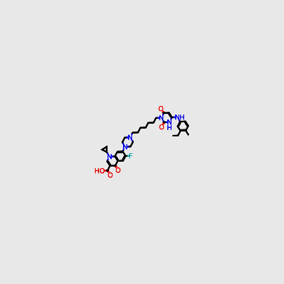 CCc1cc(Nc2cc(=O)n(CCCCCCCN3CCN(c4cc5c(cc4F)c(=O)c(C(=O)O)cn5C4CC4)CC3)c(=O)[nH]2)ccc1C